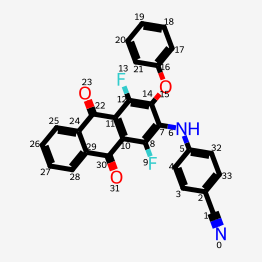 N#Cc1ccc(Nc2c(F)c3c(c(F)c2Oc2ccccc2)C(=O)c2ccccc2C3=O)cc1